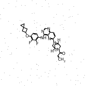 C=CC(=O)N1C[C@@H]2C[C@H]1CN2c1ccc2ncnc(Nc3ccc(OC4CC5(CC5)C4)c(F)c3F)c2n1